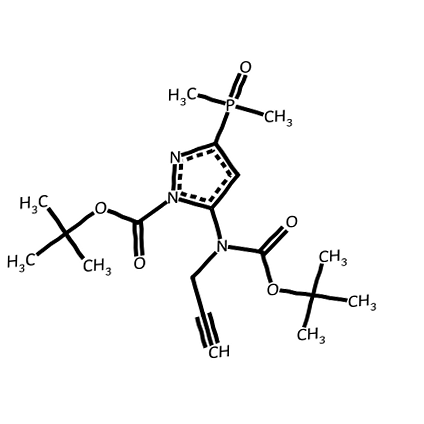 C#CCN(C(=O)OC(C)(C)C)c1cc(P(C)(C)=O)nn1C(=O)OC(C)(C)C